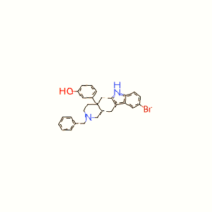 Oc1cccc(C23CCN(Cc4ccccc4)CC2Cc2c([nH]c4ccc(Br)cc24)C3)c1